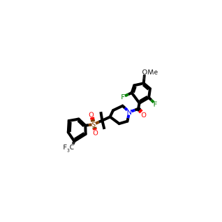 COc1cc(F)c(C(=O)N2CCC(C(C)(C)S(=O)(=O)c3cccc(C(F)(F)F)c3)CC2)c(F)c1